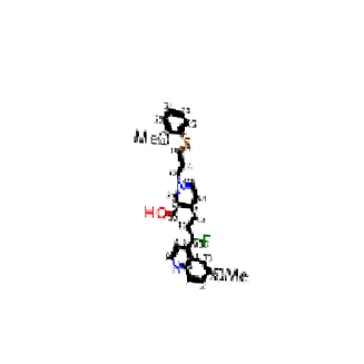 COc1ccc2nccc([C@H](F)CC[C@@H]3CCN(CCCSc4ccccc4OC)C[C@@H]3CO)c2c1